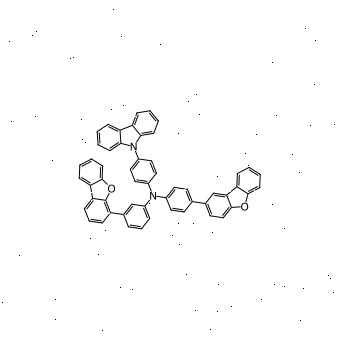 c1cc(-c2cccc3c2oc2ccccc23)cc(N(c2ccc(-c3ccc4oc5ccccc5c4c3)cc2)c2ccc(-n3c4ccccc4c4ccccc43)cc2)c1